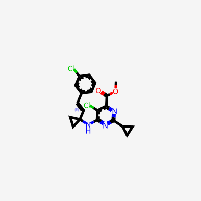 COC(=O)c1nc(C2CC2)nc(NC2(/C=C/c3cccc(Cl)c3)CC2)c1Cl